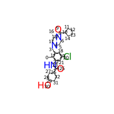 Cc1c(CN2CCN(C(=O)C3CCCC3)[C@@H](C)C2)cc(Cl)cc1NC(=O)C1CCC(O)CC1